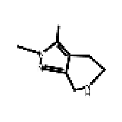 Cc1c2c(nn1C)CNCC2